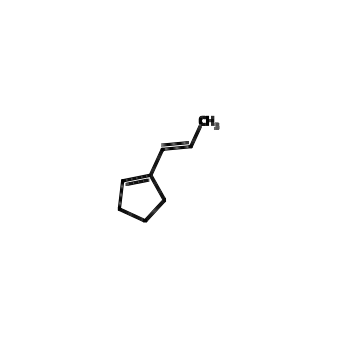 CC=CC1=CCCC1